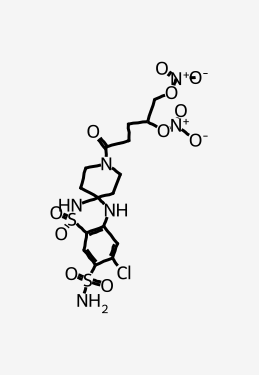 NS(=O)(=O)c1cc2c(cc1Cl)NC1(CCN(C(=O)CCC(CO[N+](=O)[O-])O[N+](=O)[O-])CC1)NS2(=O)=O